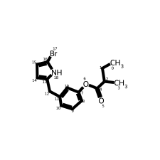 CCC(C)C(=O)Oc1cccc(Cc2ccc(Br)[nH]2)c1